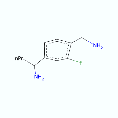 CCCC(N)c1ccc(CN)c(F)c1